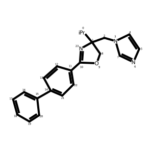 CC(C)C1(Cn2ccnc2)COC(c2ccc(-c3ccccc3)cc2)=N1